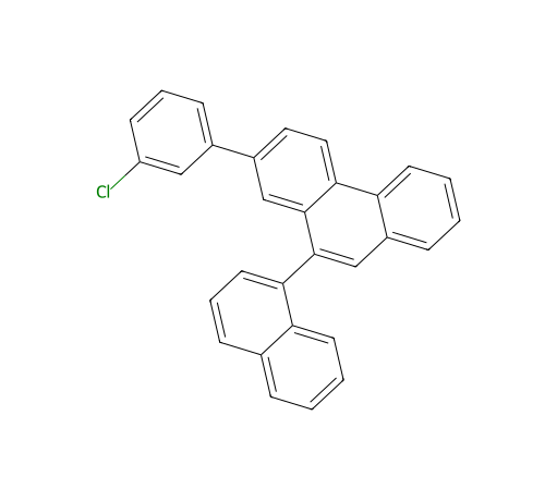 Clc1cccc(-c2ccc3c(c2)c(-c2cccc4ccccc24)cc2ccccc23)c1